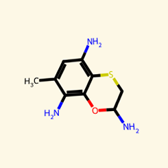 Cc1cc(N)c2c(c1N)OC(N)CS2